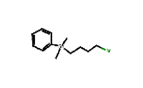 [CH3][Sn]([CH3])([CH2]CCCBr)[c]1ccccc1